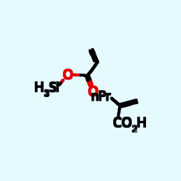 C=C(CCC)C(=O)O.C=CC(=O)O[SiH3]